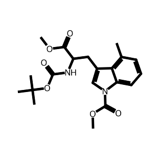 COC(=O)C(Cc1cn(C(=O)OC)c2cccc(C)c12)NC(=O)OC(C)(C)C